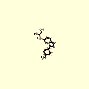 CC(C)C(CO)Nc1ccc2ncc(-c3ccc(N)cc3)n2n1